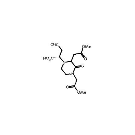 COC(=O)CC1C(=O)N(CC(=O)OC)CCN1[C@@H](CC=O)C(=O)O